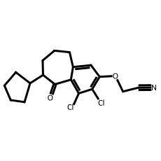 N#CCOc1cc2c(c(Cl)c1Cl)C(=O)C(C1CCCC1)CCC2